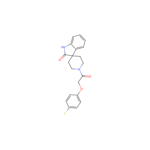 O=C(COc1ccc(F)cc1)N1CCC2(CC1)C(=O)Nc1ccccc12